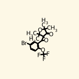 CC1(C)OC(C)(C)C2(OC2c2cc(Br)ccc2OC(F)(F)F)C1=O